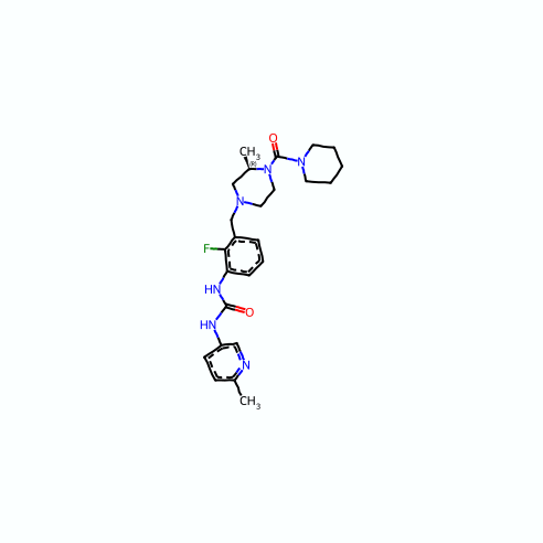 Cc1ccc(NC(=O)Nc2cccc(CN3CCN(C(=O)N4CCCCC4)[C@H](C)C3)c2F)cn1